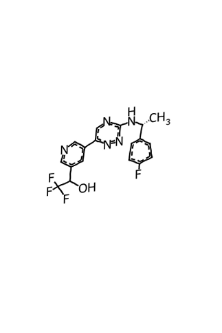 C[C@@H](Nc1ncc(-c2cncc(C(O)C(F)(F)F)c2)nn1)c1ccc(F)cc1